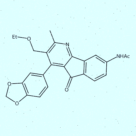 CCOCc1c(C)nc2c(c1-c1ccc3c(c1)OCO3)C(=O)c1ccc(NC(C)=O)cc1-2